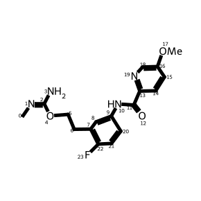 C/N=C(/N)OCCc1cc(NC(=O)c2ccc(OC)cn2)ccc1F